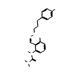 Cc1cccc(N(N)C(=O)N(C)N)c1/C=N\OCCCc1ccc(Cl)cc1